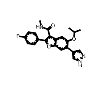 CNC(=O)c1c(-c2ccc(F)cc2)oc2cc(-c3cn[nH]c3)c(OC(C)C)cc12